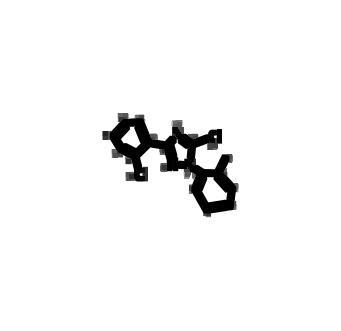 Cc1ccccc1-n1nc(-c2ccccc2Cl)nc1Cl